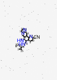 CC(C)C1(CN/C=C(\C=N)c2ccc(C#N)nc2-c2ccn3ccnc3c2)CC1